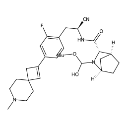 CN1CCC2(C=C(c3ccc(C[C@@H](C#N)NC(=O)[C@@H]4[C@H]5CC[C@H](C5)N4C(O)OC(C)(C)C)c(F)c3)C2)CC1